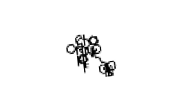 O=C(NC1CCCCC1)C(c1ccccc1Cl)N(C(=O)CCCCS(=O)(=O)N1CC1)c1cccc(F)c1